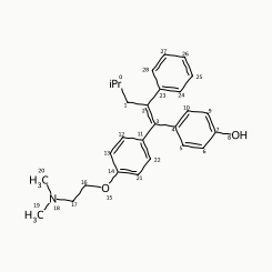 CC(C)CC(=C(c1ccc(O)cc1)c1ccc(OCCN(C)C)cc1)c1ccccc1